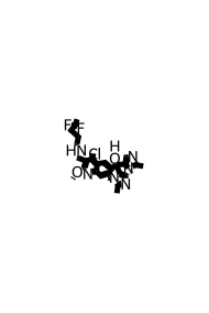 COc1nc2ccc(C(O)(c3cnc(C)n3C)c3cnc(C)n3C)cc2c(Cl)c1CNCCCC(C)(F)F